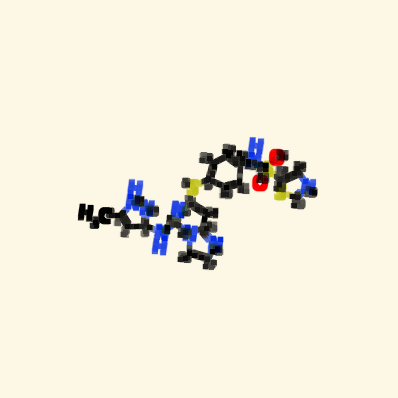 Cc1cc(Nc2nc(Sc3ccc(NS(=O)(=O)c4cncs4)cc3)cc3nccn23)n[nH]1